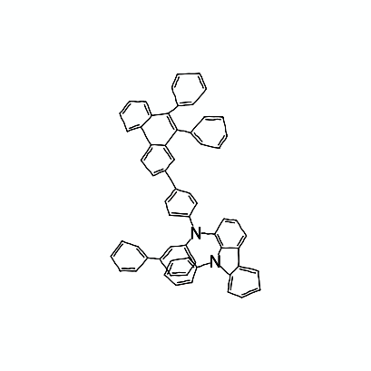 c1ccc(-c2cccc(N(c3ccc(-c4ccc5c(c4)c(-c4ccccc4)c(-c4ccccc4)c4ccccc45)cc3)c3cccc4c5ccccc5n(-c5ccccc5)c34)c2)cc1